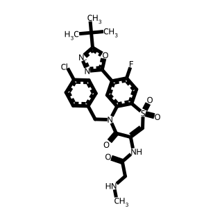 CNCC(=O)NC1=CS(=O)(=O)c2cc(F)c(-c3nnc(C(C)(C)C)o3)cc2N(Cc2ccc(Cl)cc2)C1=O